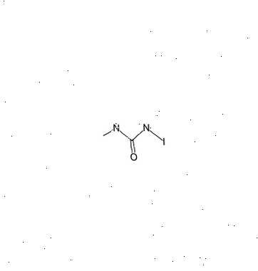 C[N]C(=O)[N]I